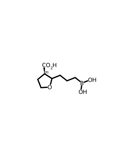 O=C(O)[C@@H]1CCOC1CCCB(O)O